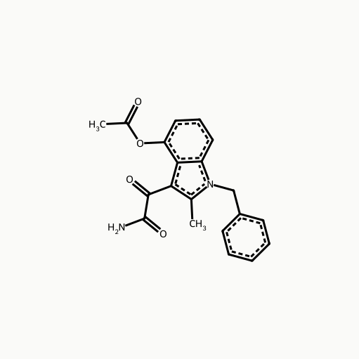 CC(=O)Oc1cccc2c1c(C(=O)C(N)=O)c(C)n2Cc1ccccc1